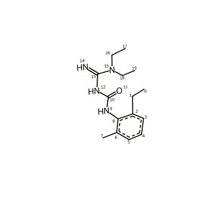 CCc1cccc(C)c1NC(=O)NC(=N)N(CC)CC